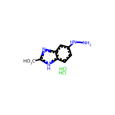 Cl.Cl.NNc1ccc2[nH]c(C(=O)O)nc2c1